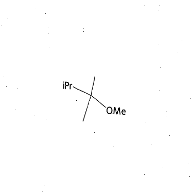 [CH2]C(C)C(C)(C)OC